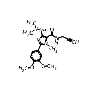 C#CCNC(=O)c1c(NN(C)C)nc(-c2ccc(OC)c(OC)c2)n1C